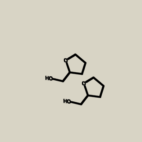 OCC1CCCO1.OCC1CCCO1